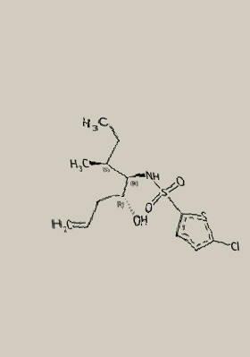 C=CC[C@@H](O)[C@H](NS(=O)(=O)c1ccc(Cl)s1)[C@@H](C)CC